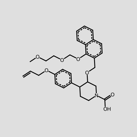 C=CCOc1ccc(C2CCN(C(=O)O)CC2OCc2ccc3ccccc3c2OCOCCOC)cc1